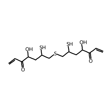 C=CC(=O)C(O)CC(S)CSCC(S)CC(O)C(=O)C=C